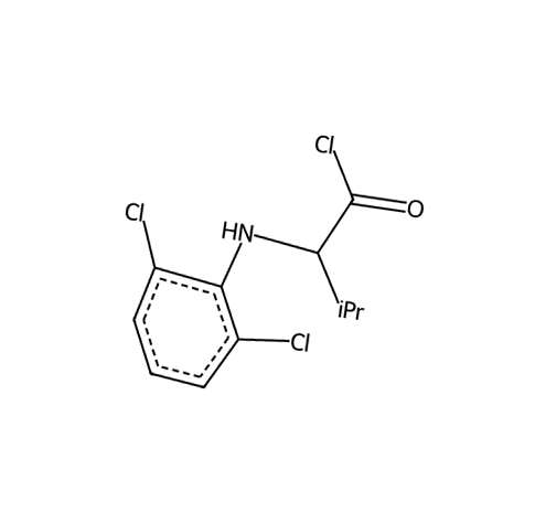 CC(C)C(Nc1c(Cl)cccc1Cl)C(=O)Cl